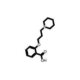 O=C(O)c1ccccc1OCCCN1CCCCC1